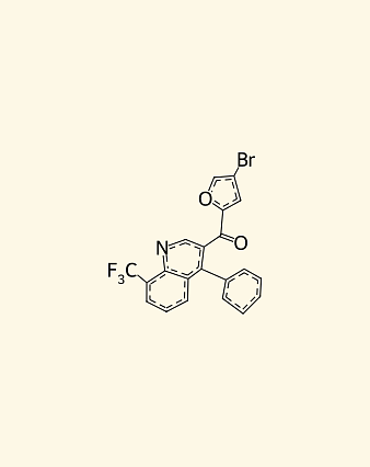 O=C(c1cc(Br)co1)c1cnc2c(C(F)(F)F)cccc2c1-c1ccccc1